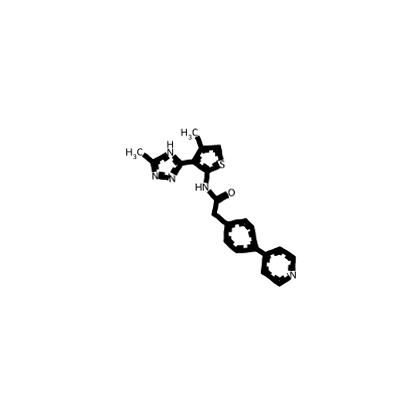 Cc1nnc(-c2c(C)csc2NC(=O)Cc2ccc(-c3ccncc3)cc2)[nH]1